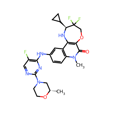 C[C@H]1CN(c2ncc(F)c(Nc3ccc4c(c3)c3c(c(=O)n4C)OCC(F)(F)[C@H](C4CC4)N3)n2)CCO1